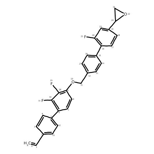 C=Cc1ccc(-c2ccc(OCc3ccc(-c4ccc(C5CO5)cc4F)cc3)c(F)c2F)cc1